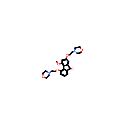 COc1cc(OCCN2CCOCC2)cc2c1-c1c(OCCN3CCOCC3)cccc1C2=O